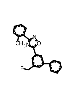 Cc1ccccc1-c1noc(-c2cc(CF)cc(-c3ccccc3)c2)n1